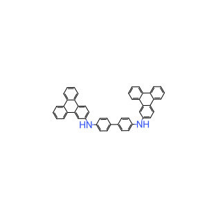 c1ccc2c(c1)c1ccccc1c1cc(Nc3ccc(-c4ccc(Nc5ccc6c7ccccc7c7ccccc7c6c5)cc4)cc3)ccc21